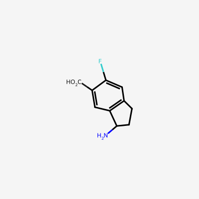 NC1CCc2cc(F)c(C(=O)O)cc21